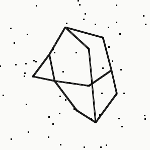 C1C2CC3CC1CC1(C2)CC31